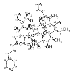 C/C=C/C[C@@H](C)[C@@H](O)[C@@H](C(=O)N[C@@H](CC)C(=O)N(C)[C@H](CSCCCN1CCOCC1)C(=O)N(C)[C@@H](CC(C)C)C(N)=O)N(C)C(=O)[C@H](C(C)C)N(C)C(=O)[C@H](CC(C)C)N(C)C(=O)CCC(C)C